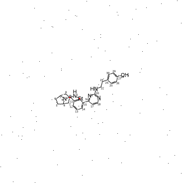 CCNC1CC2CCC(C1)N2Cc1cccc(-c2ccnc(NCCc3ccc(O)cc3)n2)c1